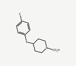 O=C(O)N1CCC(Sc2ccc(F)cc2)CC1